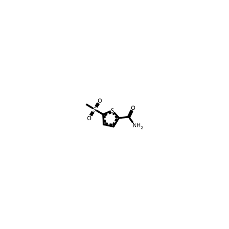 CS(=O)(=O)c1ccc(C(N)=O)s1